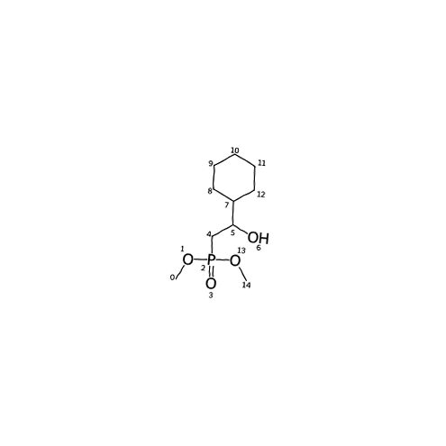 COP(=O)(CC(O)C1CCCCC1)OC